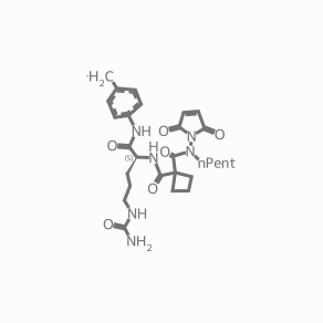 [CH2]c1ccc(NC(=O)[C@H](CCCNC(N)=O)NC(=O)C2(C(=O)N(CCCCC)N3C(=O)C=CC3=O)CCC2)cc1